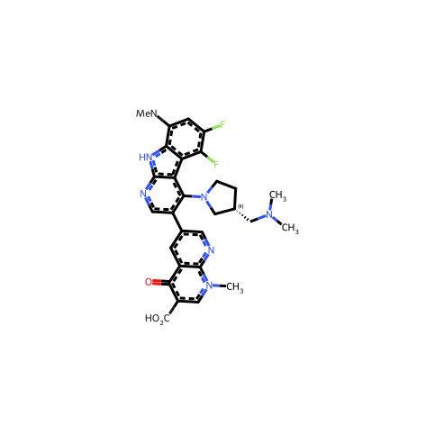 CNc1cc(F)c(F)c2c1[nH]c1ncc(-c3cnc4c(c3)c(=O)c(C(=O)O)cn4C)c(N3CC[C@H](CN(C)C)C3)c12